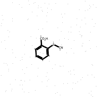 N#CSc1ccccc1C(=O)O